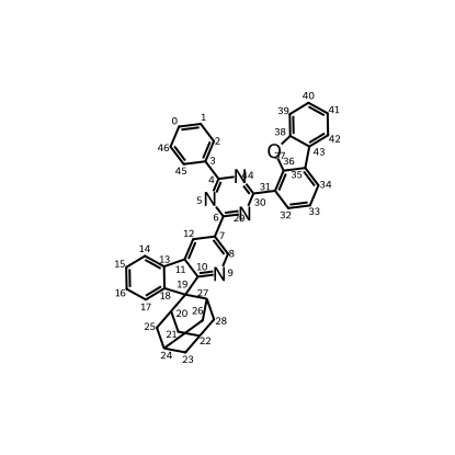 c1ccc(-c2nc(-c3cnc4c(c3)-c3ccccc3C43C4CC5CC(C4)CC3C5)nc(-c3cccc4c3oc3ccccc34)n2)cc1